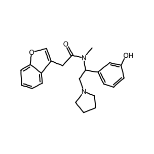 CN(C(=O)Cc1coc2ccccc12)C(CN1CCCC1)c1cccc(O)c1